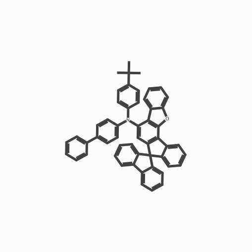 CC(C)(C)c1ccc(N(c2ccc(-c3ccccc3)cc2)c2cc3c(c4oc5ccccc5c24)-c2ccccc2C32c3ccccc3-c3ccccc32)cc1